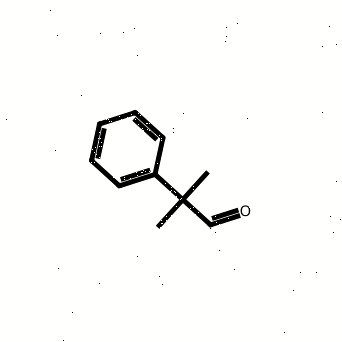 CC(C)([C]=O)c1ccccc1